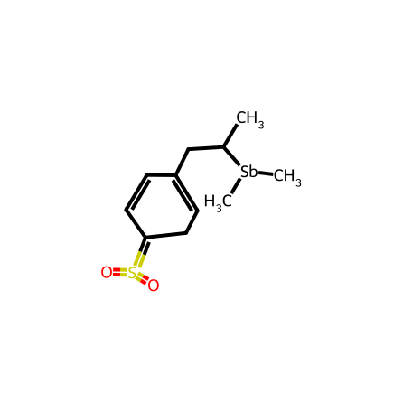 C[CH](CC1=CCC(=S(=O)=O)C=C1)[Sb]([CH3])[CH3]